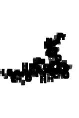 CC(C)Cc1nnc2ccc(O[C@@H]3C=C[C@](C=O)(NC(=O)Nc4cc(C(C)(C)C)nc(C(=O)NCCN(C)C)n4)c4ccccc43)cn12